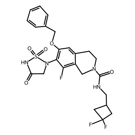 O=C1CN(c2c(OCc3ccccc3)cc3c(c2F)CN(C(=O)NCC2CC(F)(F)C2)CC3)S(=O)(=O)N1